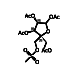 CC(=O)OC[C@@]1(COS(C)(=O)=O)OC(OC(C)=O)[C@H](OC(C)=O)[C@@H]1OC(C)=O